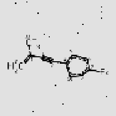 C=C(C#Cc1ccc(F)cc1)C(F)(F)F